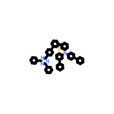 c1ccc(-c2ccc(N(c3cccc(-c4ccccc4)c3)c3cccc4c3sc3c(-c5ccc(-c6nc(-c7ccccc7)nc(-c7ccccc7)n6)cc5)cccc34)cc2)cc1